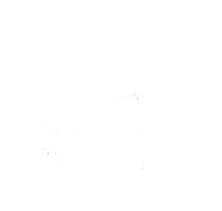 CN(CCCCl)CCCOC(N)=O